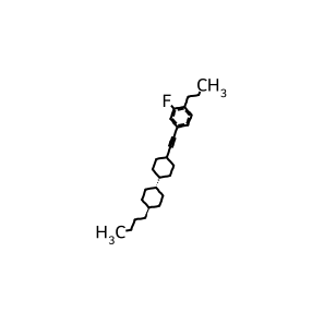 CCCC[C@H]1CC[C@H](C2CCC(C#Cc3ccc(CCC)c(F)c3)CC2)CC1